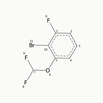 Fc1cccc(OC(F)F)c1Br